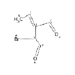 CC=C([C]=O)C(Br)C=O